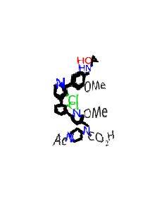 COc1cc(-c2nccc(-c3cccc(-c4ccc(CN(C(=O)O)C5CCN(C(C)=O)CC5)c(OC)n4)c3Cl)c2Cl)ccc1CNCC1(O)CC1